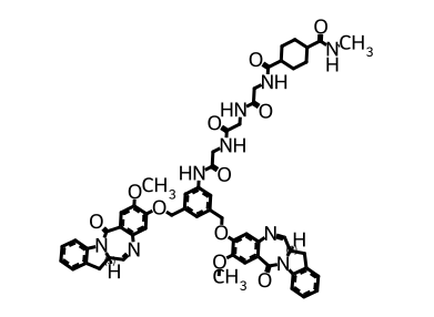 CNC(=O)C1CCC(C(=O)NCC(=O)NCC(=O)NCC(=O)Nc2cc(COc3cc4c(cc3OC)C(=O)N3c5ccccc5C[C@H]3C=N4)cc(COc3cc4c(cc3OC)C(=O)N3c5ccccc5C[C@H]3C=N4)c2)CC1